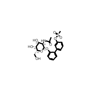 CC(=O)N[C@H]1[C@H](Oc2ccccc2-c2cccc(OS(C)(=O)=O)c2)O[C@H](CO)[C@H](O)[C@@H]1O